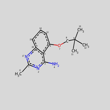 Cc1nc(N)c2c(OCC(C)(C)C)cccc2n1